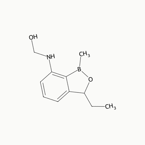 CCC1OB(C)c2c(NCO)cccc21